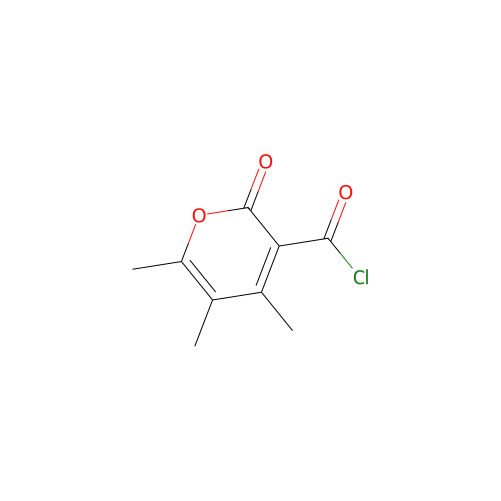 Cc1oc(=O)c(C(=O)Cl)c(C)c1C